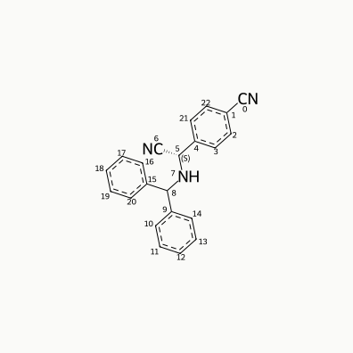 N#Cc1ccc([C@@H](C#N)NC(c2ccccc2)c2ccccc2)cc1